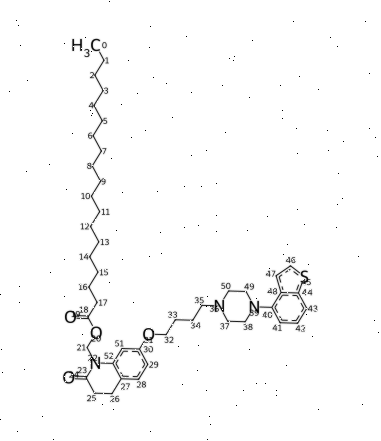 CCCCCCCCCCCCCCCCCCC(=O)OCN1C(=O)CCc2ccc(OCCCCN3CCN(c4cccc5sccc45)CC3)cc21